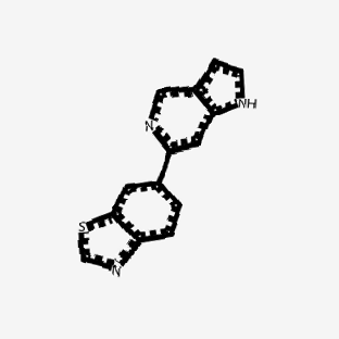 c1cc2cnc(-c3ccc4ncsc4c3)cc2[nH]1